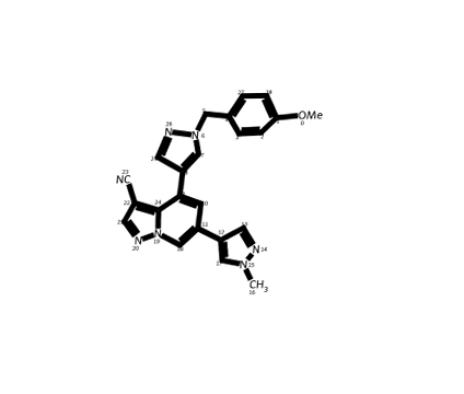 COc1ccc(Cn2cc(-c3cc(-c4cnn(C)c4)cn4ncc(C#N)c34)cn2)cc1